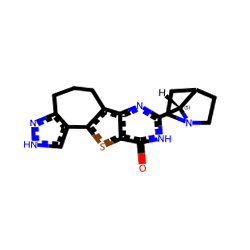 O=c1[nH]c([C@@H]2C3CCN2CC3)nc2c3c(sc12)-c1c[nH]nc1CCC3